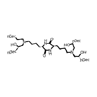 CCCCCCCCCCCCN(CCCC[C@@H]1NC(=O)[C@@H](CCCCN(C[C@H](O)CCCCCCCCCC)C[C@H](O)CCCCCCCCCC)NC1=O)C[C@H](O)CCCCCCCCCC